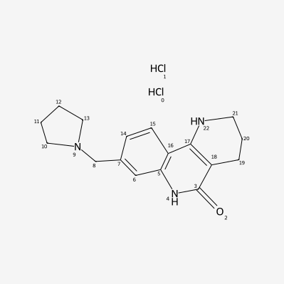 Cl.Cl.O=c1[nH]c2cc(CN3CCCC3)ccc2c2c1CCCN2